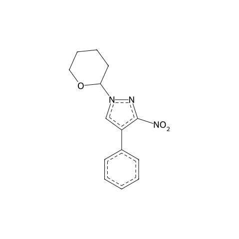 O=[N+]([O-])c1nn(C2CCCCO2)cc1-c1ccccc1